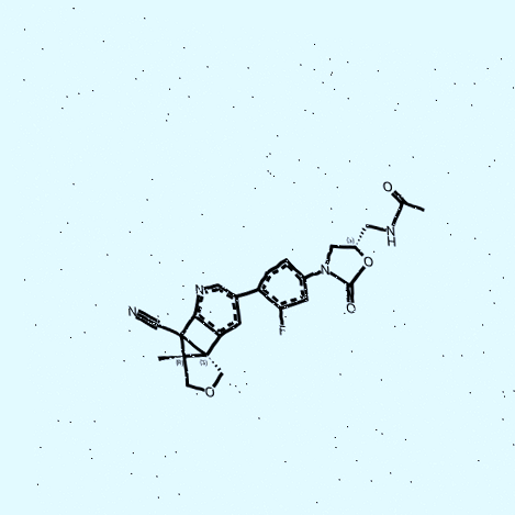 CC(=O)NC[C@H]1CN(c2ccc(-c3cnc4c(c3)[C@@]35COC[C@]3(C)C45C#N)c(F)c2)C(=O)O1